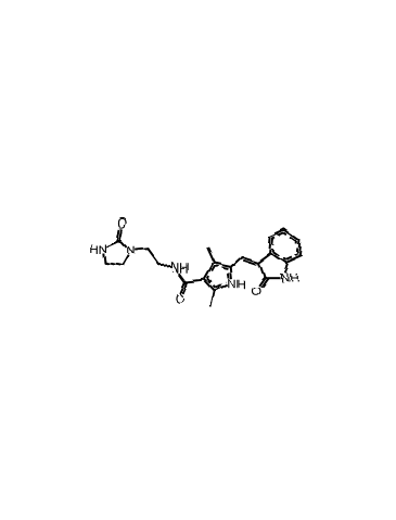 Cc1[nH]c(/C=C2\C(=O)Nc3ccccc32)c(C)c1C(=O)NCCN1CCNC1=O